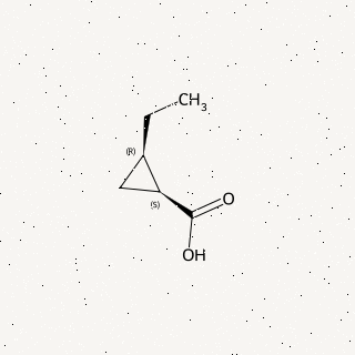 CC[C@@H]1C[C@@H]1C(=O)O